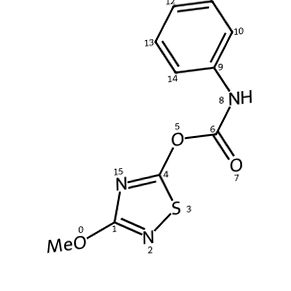 COc1nsc(OC(=O)Nc2ccccc2)n1